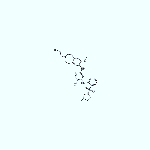 COc1cc2c(cc1Nc1ncc(Cl)c(Nc3ccccc3S(=O)(=O)N3CCC(C)C3)n1)CCN(CCO)CC2